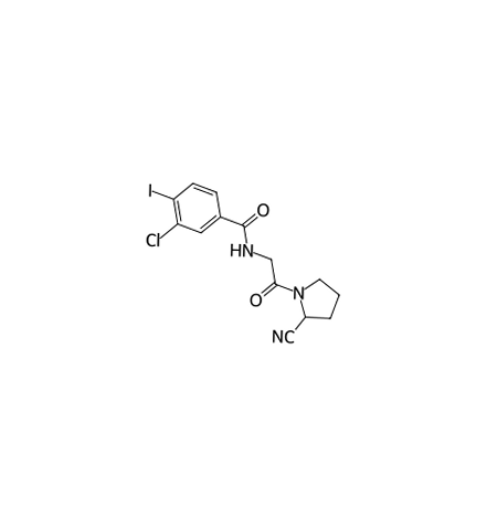 N#CC1CCCN1C(=O)CNC(=O)c1ccc(I)c(Cl)c1